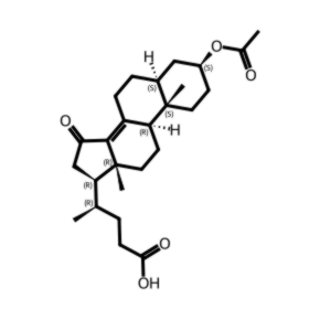 CC(=O)O[C@H]1CC[C@@]2(C)[C@@H](CCC3=C4C(=O)C[C@H]([C@H](C)CCC(=O)O)[C@@]4(C)CC[C@@H]32)C1